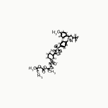 Cc1ccc(-c2cc(C(F)(F)F)nn2-c2ccc(S(=O)(=O)NC(=O)C3CCCN([N+]([O-])=NOC(C)OC(=O)OC(C)C)C3)cc2)cc1